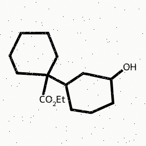 CCOC(=O)C1(C2CCCC(O)C2)CCCCC1